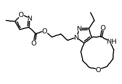 CCc1nn(CCCOC(=O)c2cc(C)on2)c2c1C(=O)NCCCOCCC2